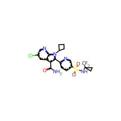 NC(=O)c1c(-c2ccc(S(=O)(=O)NC3(C(F)(F)F)CC3)cn2)n(C2CCC2)c2ncc(Cl)cc12